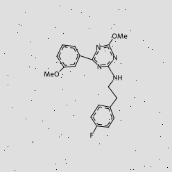 COc1cccc(-c2nc(NCCc3ccc(F)cc3)nc(OC)n2)c1